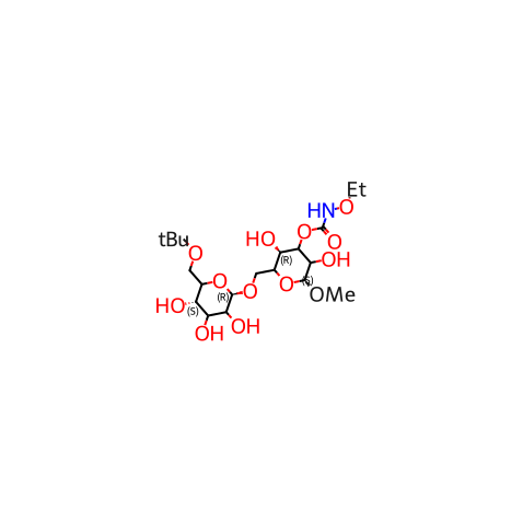 CCONC(=O)OC1C(O)[C@@H](OC)OC(CO[C@@H]2OC(COC(C)(C)C)[C@@H](O)C(O)C2O)[C@H]1O